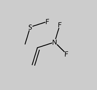 C=CN(F)F.CSF